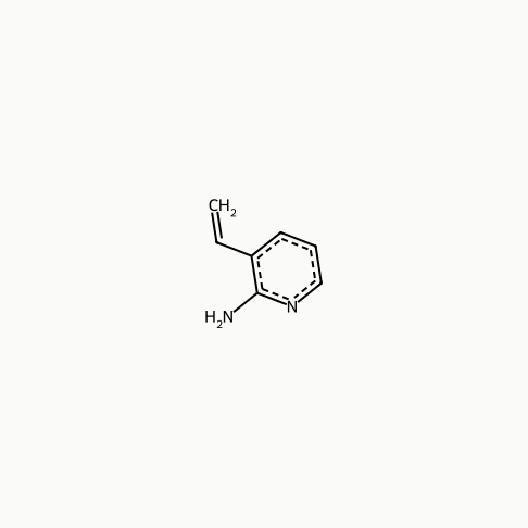 C=Cc1cccnc1N